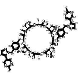 Cc1ncc(-c2ccnn2Cc2ccc(C[C@H]3OC(=O)[C@H](CC(C)C)N(C)C(=O)[C@@H](C)OC(=O)[C@H](CC(C)C)N(C)C(=O)[C@@H](Cc4ccc(Cn5nccc5-c5cnc(C)nc5)cc4)OC(=O)[C@H](CC(C)C)N(C)C(=O)[C@@H](C)OC(=O)[C@H](CC(C)C)N(C)C3=O)cc2)cn1